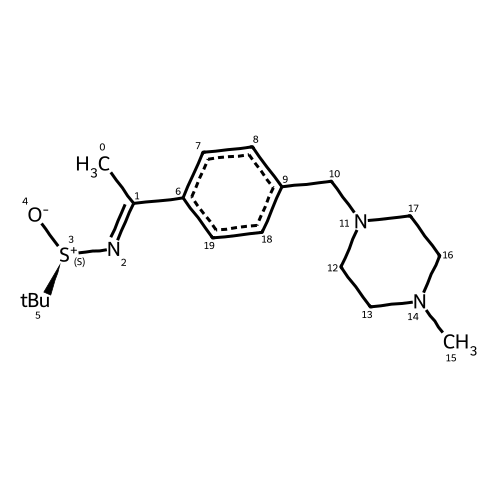 CC(=N[S@+]([O-])C(C)(C)C)c1ccc(CN2CCN(C)CC2)cc1